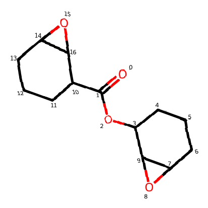 O=C(OC1CCCC2OC12)C1CCCC2OC21